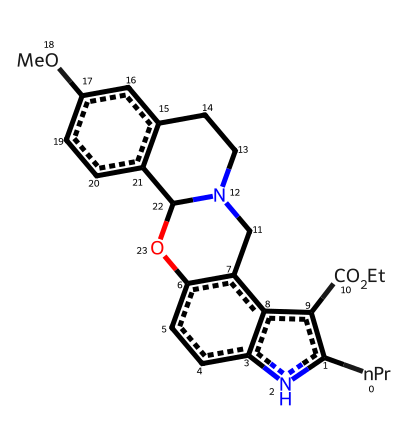 CCCc1[nH]c2ccc3c(c2c1C(=O)OCC)CN1CCc2cc(OC)ccc2C1O3